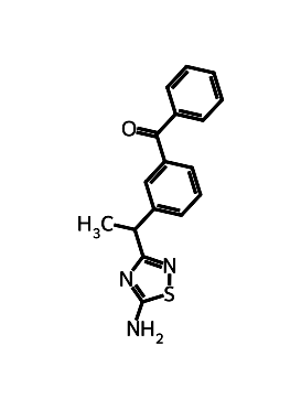 CC(c1cccc(C(=O)c2ccccc2)c1)c1nsc(N)n1